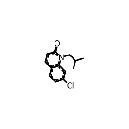 CC(C)Cn1c(=O)ccc2ccc(Cl)cc21